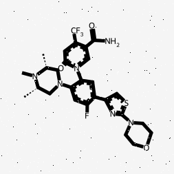 C[C@@H]1CN(c2cc(F)c(-c3csc(N4CCOCC4)n3)cc2-n2cc(C(N)=O)c(C(F)(F)F)cc2=O)C[C@H](C)N1C